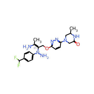 C/C(N)=C(\COc1ccc(N2CC(=O)NC(C)C2)nn1)N(N)c1ccc(C(F)F)cc1